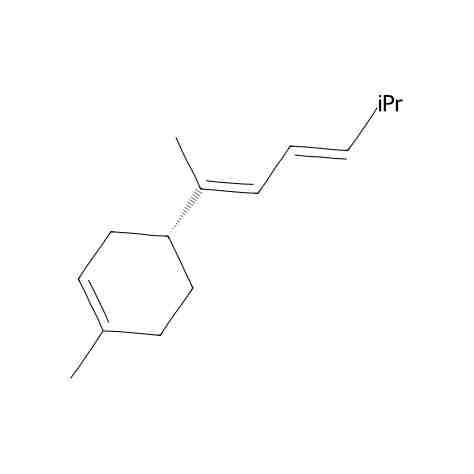 CC1=CC[C@H](/C(C)=C/C=C/C(C)C)CC1